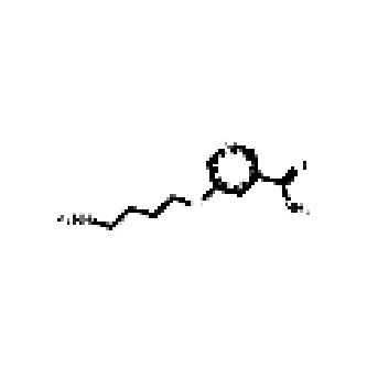 CC(=O)NCCCCOc1cncc(C(N)=O)c1